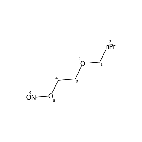 CCCCOCCON=O